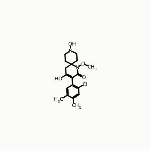 CON1C(=O)C(c2cc(C)c(C)cc2Cl)=C(O)CC12CCN(O)CC2